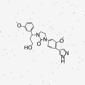 COc1cccc(C(CCO)N2CCN(c3ccc(-c4cn[nH]c4)c(OC)c3)C2=O)c1